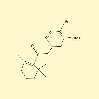 COc1cc(CC(=O)C2=C(C)CCCC2(C)C)ccc1C(C)C